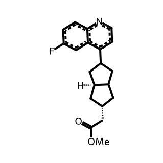 COC(=O)C[C@H]1CC2CC(c3ccnc4ccc(F)cc34)C[C@@H]2C1